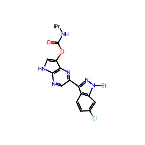 CCn1nc(-c2cnc3[nH]cc(OC(=O)NC(C)C)c3n2)c2ccc(Cl)cc21